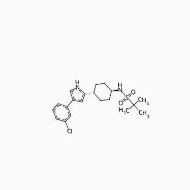 CC(C)(C)S(=O)(=O)N[C@H]1CC[C@H](c2cc(-c3cccc(Cl)c3)c[nH]2)CC1